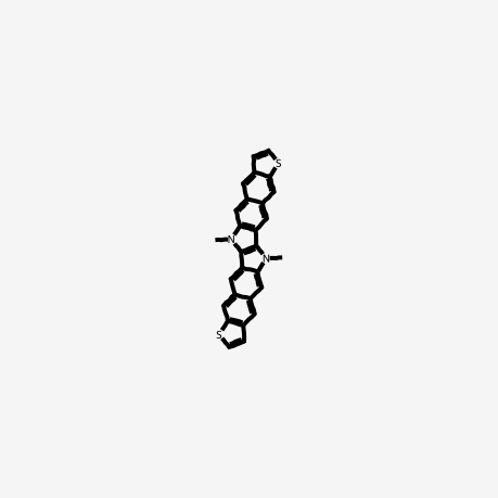 Cn1c2cc3cc4ccsc4cc3cc2c2c1c1cc3cc4sccc4cc3cc1n2C